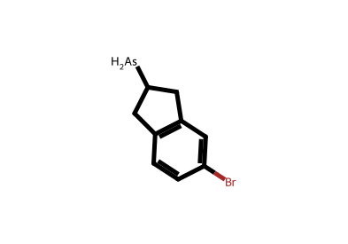 [AsH2]C1Cc2ccc(Br)cc2C1